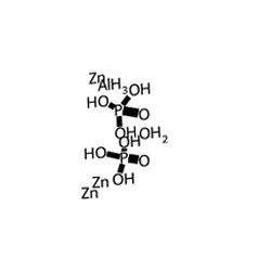 O.O=P(O)(O)O.O=P(O)(O)O.[AlH3].[Zn].[Zn].[Zn]